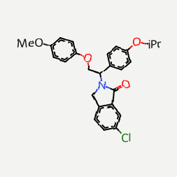 COc1ccc(OCC(c2ccc(OC(C)C)cc2)N2Cc3ccc(Cl)cc3C2=O)cc1